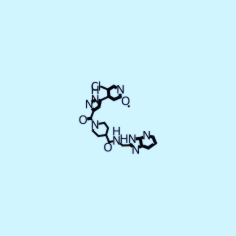 COc1cc(-c2cc(C(=O)N3CCC(C(=O)NCc4nc5cccnc5[nH]4)CC3)n[nH]2)c(Cl)cn1